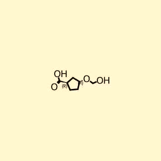 O=C(O)[C@@H]1CC[C@@H](OCO)C1